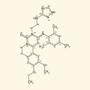 CCOc1cc2c(cc1OC)-c1c/c(=N\c3c(C)cc(C)cc3C)n(CCNc3nc[nH]n3)c(=O)n1CC2